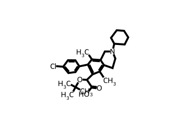 Cc1c2c(c(C)c(C(OC(C)(C)C)C(=O)O)c1-c1ccc(Cl)cc1)CCN(C1CCCCC1)C2